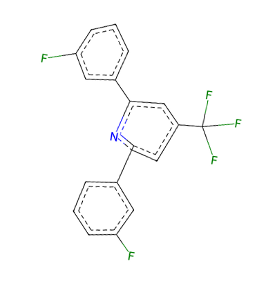 Fc1cccc(-c2cc(C(F)(F)F)cc(-c3cccc(F)c3)n2)c1